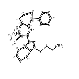 CC(=O)O.NCCCn1cc(-c2nc3c(-c4ccccc4)cccc3[nH]c2=O)c2ccccc21